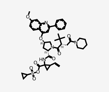 C=CC1CC1(NC(=O)[C@@H]1C[C@@H](Oc2cc(-c3ccccc3)nc3cc(OC)ccc23)CN1C(=O)[C@@H](CC(=O)N1CCCCC1)C(C)(C)C)C(=O)OS(=O)(=O)C1CC1